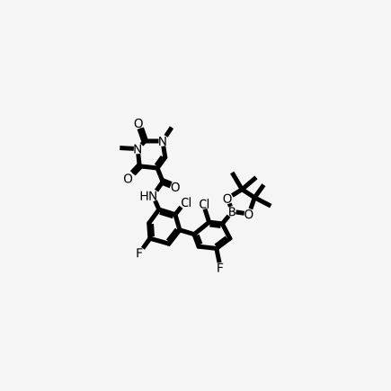 Cn1cc(C(=O)Nc2cc(F)cc(-c3cc(F)cc(B4OC(C)(C)C(C)(C)O4)c3Cl)c2Cl)c(=O)n(C)c1=O